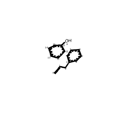 C=CCc1ccccc1.Oc1ccccc1